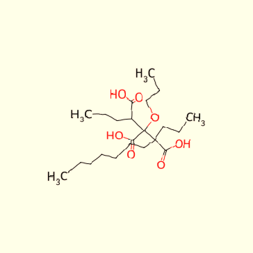 CCCCCCCC(CCC)(C(=O)O)C(OCCC)(C(=O)O)C(CCC)C(=O)O